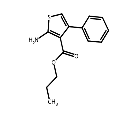 CCCOC(=O)c1c(-c2ccccc2)csc1N